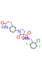 O=C1CCc2cc(N3CCC(O)(C(=O)NCc4c(F)ccc(F)c4Cl)C3=O)ccc2N1